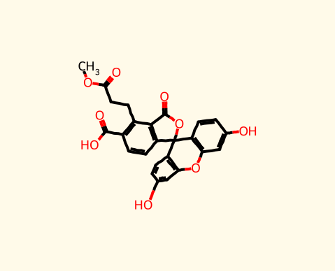 COC(=O)CCc1c(C(=O)O)ccc2c1C(=O)OC21c2ccc(O)cc2Oc2cc(O)ccc21